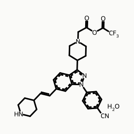 N#Cc1ccc(-n2nc(C3CCN(CC(=O)OC(=O)C(F)(F)F)CC3)c3ccc(C=CC4CCNCC4)cc32)cc1.O